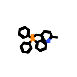 Cc1ccc(C[PH](c2ccccc2)(c2ccccc2)c2ccccc2)cn1